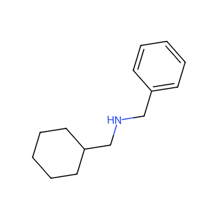 c1ccc(CNCC2CCCCC2)cc1